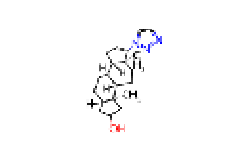 C[C@]12CC(O)C[C@@H]1CC[C@@H]1[C@@H]2CC[C@]2(C)C(n3ccnn3)=CC[C@@H]12